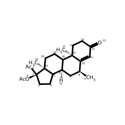 CC(=O)O[C@]1(C(C)=O)CCC2[C@@H]3C[C@H](C)C4=CC(=O)CC[C@]4(C)C3CC[C@@]21C